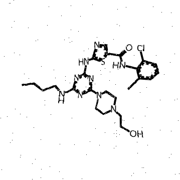 CCCCNc1nc(Nc2ncc(C(=O)Nc3c(C)cccc3Cl)s2)nc(N2CCN(CCO)CC2)n1